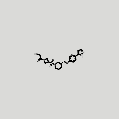 CC(C)CC(=O)N1CC(S(=O)(=O)N2CCC[C@@H](COc3ccc(-c4ccn[nH]4)nc3)C2)C1